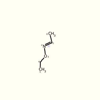 C/[C]=N/OCC